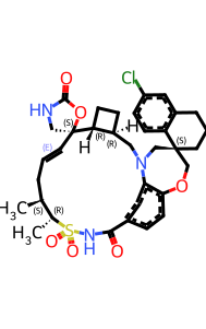 C[C@@H]1[C@@H](C)C/C=C/[C@]2(CNC(=O)O2)[C@@H]2CC[C@H]2CN2C[C@@]3(CCCc4cc(Cl)ccc43)COc3ccc(cc32)C(=O)NS1(=O)=O